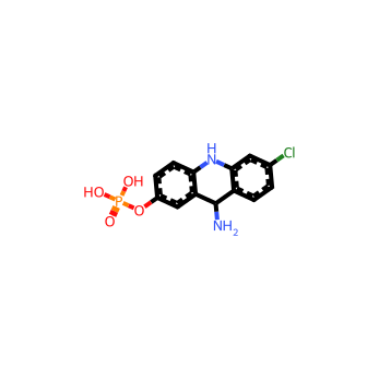 NC1c2ccc(Cl)cc2Nc2ccc(OP(=O)(O)O)cc21